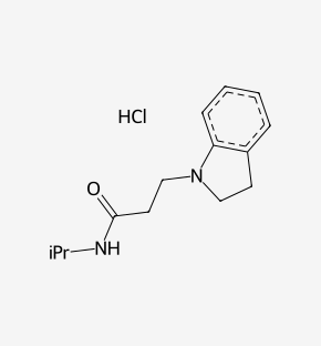 CC(C)NC(=O)CCN1CCc2ccccc21.Cl